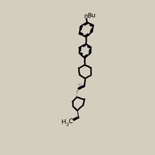 C=C[C@H]1CC[C@H](/C=C/C2CCC(c3ccc(-c4ccc(CCCC)cc4)cc3)CC2)CC1